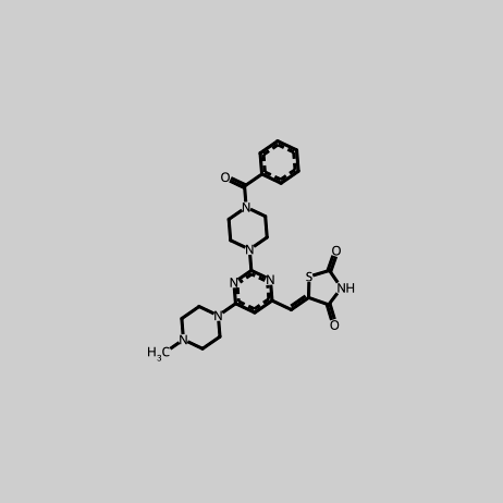 CN1CCN(c2cc(/C=C3\SC(=O)NC3=O)nc(N3CCN(C(=O)c4ccccc4)CC3)n2)CC1